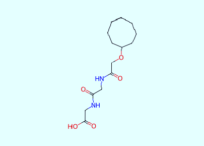 O=C(O)CNC(=O)CNC(=O)COC1CCCCCCC1